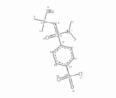 CN(C)S(=O)(=N[Si](C)(C)C(C)(C)C)c1ccc(S(=O)(=O)Cl)cc1